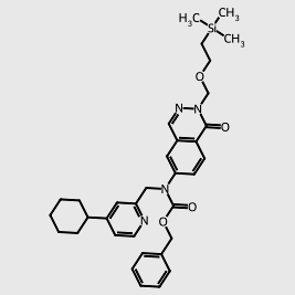 C[Si](C)(C)CCOCn1ncc2cc(N(Cc3cc(C4CCCCC4)ccn3)C(=O)OCc3ccccc3)ccc2c1=O